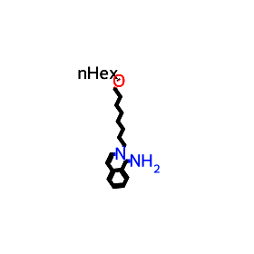 CCCCCCOCCCCCCCCN1C=Cc2ccccc2C1N